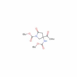 COC(=O)C1(NC(=O)OC(C)(C)C)CC(=O)N(C(=O)OC(C)(C)C)C1